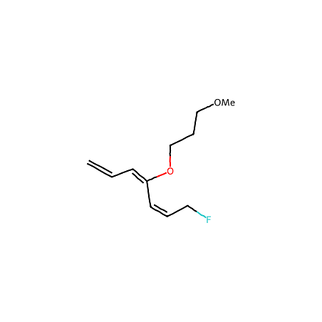 C=C/C=C(\C=C/CF)OCCCOC